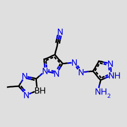 CC1=NBC(n2cc(C#N)c(/N=N/c3cn[nH]c3N)n2)=N1